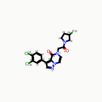 O=C(Cn1ccn2ncc(-c3ccc(Cl)c(Cl)c3)c2c1=O)N1CCC(F)C1